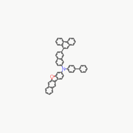 c1ccc(-c2ccc(N(c3ccc4ccc(-c5cc6ccccc6c6ccccc56)cc4c3)c3ccc4c(c3)oc3cc5ccccc5cc34)cc2)cc1